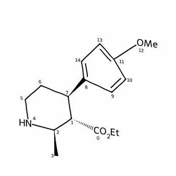 CCOC(=O)[C@@H]1[C@@H](C)NCC[C@H]1c1ccc(OC)cc1